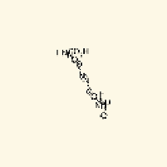 N=CN(C(=O)O)c1ccc(OCCCN2CCN(CCCOc3ccc(C(=N)NC(=O)OCc4ccccc4)cc3)CC2)cc1